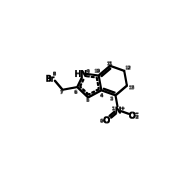 O=[N+]([O-])C1=c2cc(CBr)[nH]c2=CCC1